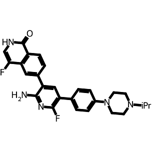 CC(C)N1CCN(c2ccc(-c3cc(-c4ccc5c(=O)[nH]cc(F)c5c4)c(N)nc3F)cc2)CC1